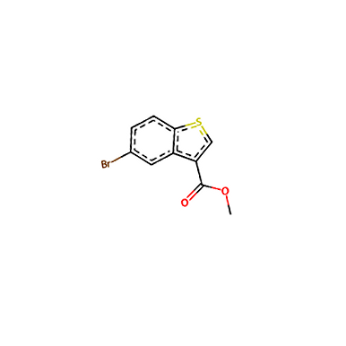 COC(=O)c1csc2ccc(Br)cc12